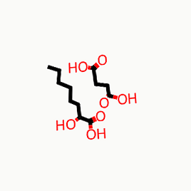 CCCCCCC(O)C(=O)O.O=C(O)CCC(=O)O